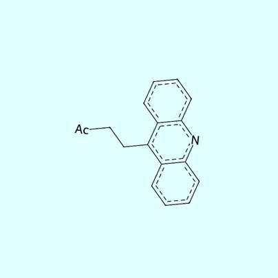 CC(=O)CCc1c2ccccc2nc2ccccc12